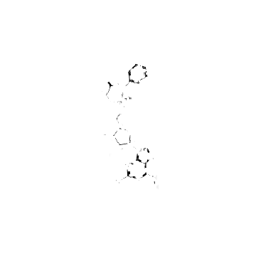 C[C@@H](N[P@@](=O)(OC[C@H]1O[C@@H](n2cnc3c(NO)nc(N)nc32)[C@H](O)[C@@H]1O)Oc1ccccc1)C(=O)O